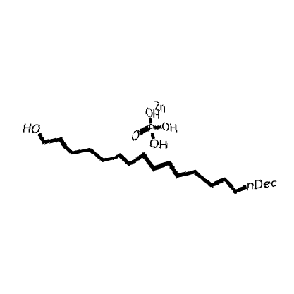 CCCCCCCCCCCCCCCCCCCCCCCCCO.O=P(O)(O)O.[Zn]